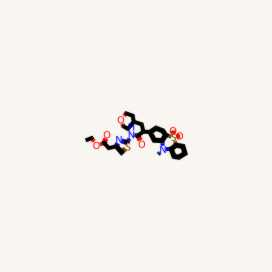 CCOC(=O)Cc1csc(NC(=O)C(CC2CCOCC2)c2ccc3c(c2)N(C)c2ccccc2S3(=O)=O)n1